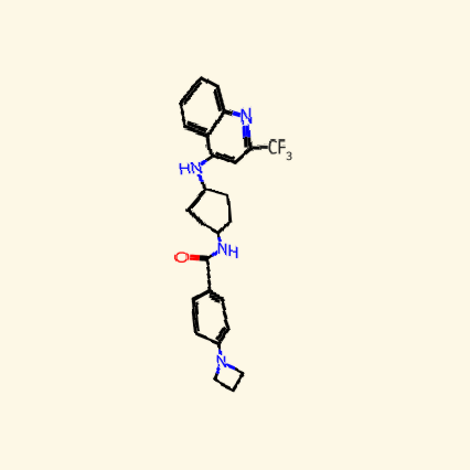 O=C(NC1CCC(Nc2cc(C(F)(F)F)nc3ccccc23)CC1)c1ccc(N2CCC2)cc1